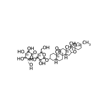 C[C@@H]1CCC2(OC1)OC1C[C@H]3C4CC[C@H]5CC(O[C@@H]6O[C@H](CO)[C@@H](O[C@@H]7O[C@H](CO)[C@@H](O)[C@H](O)[C@H]7O)[C@H](O)[C@H]6O)CC[C@]5(C)C4C(=O)C[C@]3(C)C1[C@@H]2C